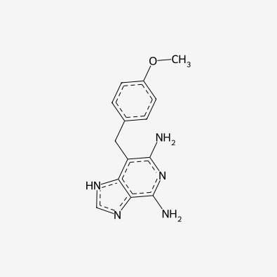 COc1ccc(Cc2c(N)nc(N)c3nc[nH]c23)cc1